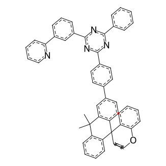 CC1(C)c2ccccc2C2(c3ccccc3Oc3ccccc32)c2ccc(-c3ccc(-c4nc(-c5ccccc5)nc(-c5cccc(-c6ccccn6)c5)n4)cc3)cc21